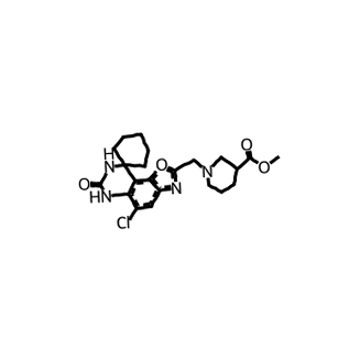 COC(=O)C1CCCN(Cc2nc3cc(Cl)c4c(c3o2)C2(CCCCC2)NC(=O)N4)C1